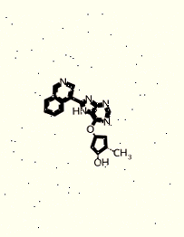 C[C@H]1C[C@@H](Oc2ncnc3nc(-c4cncc5ccccc45)[nH]c23)C[C@H]1O